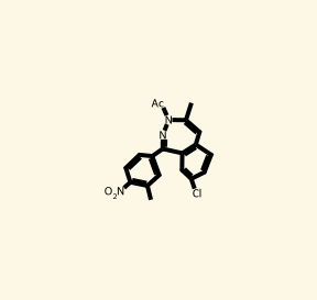 CC(=O)N1N=C(c2ccc([N+](=O)[O-])c(C)c2)c2cc(Cl)ccc2C=C1C